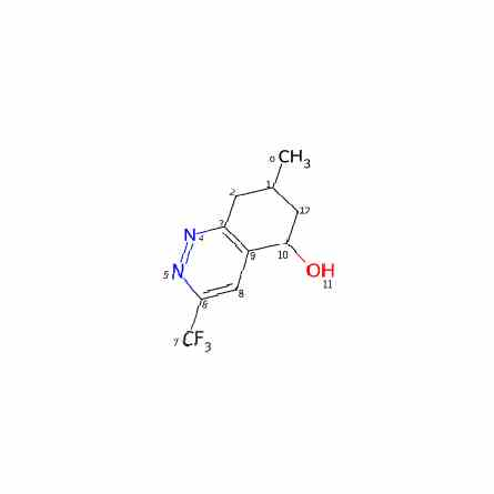 CC1Cc2nnc(C(F)(F)F)cc2C(O)C1